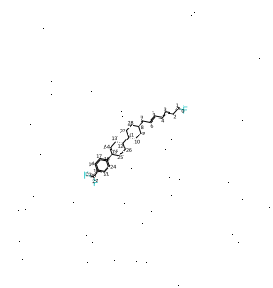 FCCCCC=CC[C@H]1CC[C@H]([C@H]2CC[C@H](c3ccc(C(F)F)cc3)CC2)CC1